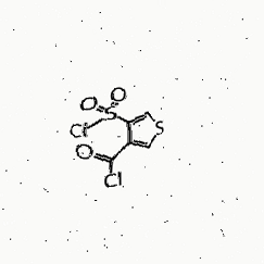 O=C(Cl)c1cscc1S(=O)(=O)Cl